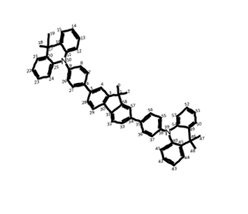 CC1(C)c2cc(-c3ccc(N4c5ccccc5C(C)(C)c5ccccc54)cc3)ccc2-c2ccc(-c3ccc(N4c5ccccc5C(C)(C)c5ccccc54)cc3)cc21